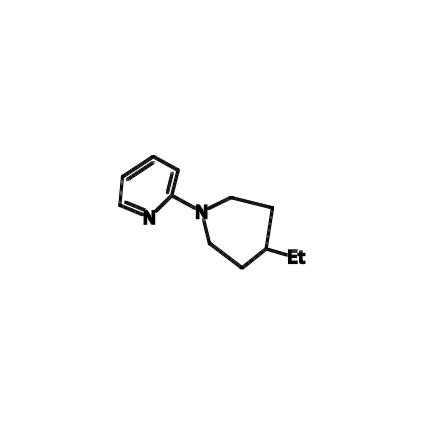 [CH2]CC1CCN(c2ccccn2)CC1